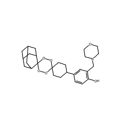 Oc1ccc(C2CCC3(CC2)OOC2(OO3)C3CC4CC(C3)CC2C4)cc1CN1CCOCC1